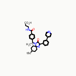 C[C@H](c1ccc(C(=O)NCCC(=O)O)cc1)N1C(=O)C(c2cccc(-c3ccncc3)c2)=NC12CCC(C(C)(C)C)CC2